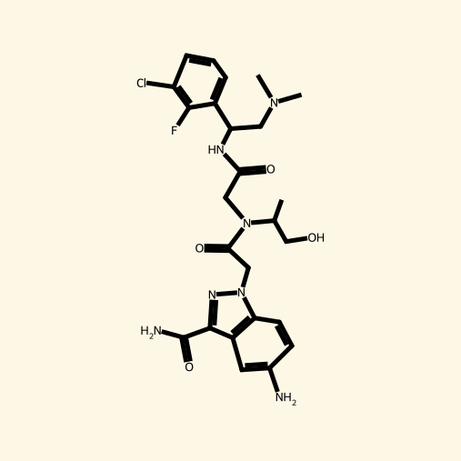 CC(CO)N(CC(=O)NC(CN(C)C)c1cccc(Cl)c1F)C(=O)Cn1nc(C(N)=O)c2cc(N)ccc21